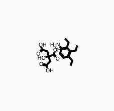 CCc1ccc(N)c(CC)c1CC.O=C(O)CC(O)(CC(=O)O)C(=O)O